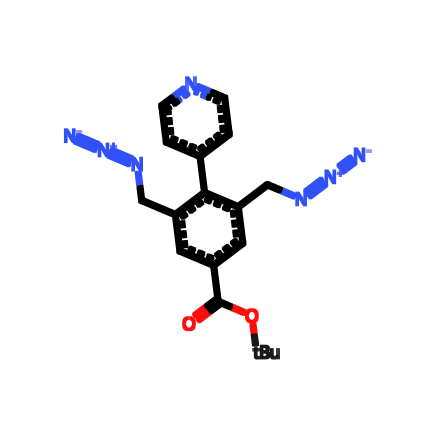 CC(C)(C)OC(=O)c1cc(CN=[N+]=[N-])c(-c2ccncc2)c(CN=[N+]=[N-])c1